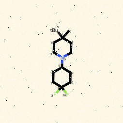 CC(C)(C)C1(C)CCN(C2CCC(F)(F)CC2)CC1